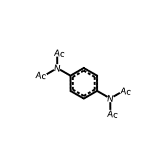 CC(=O)N(C(C)=O)c1ccc(N(C(C)=O)C(C)=O)cc1